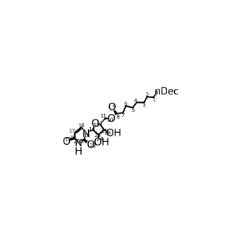 CCCCCCCCCCCCCCCCCC(=O)OC[C@@H]1O[C@H](n2ccc(=O)[nH]c2=O)C(O)C1O